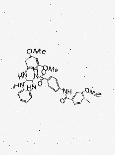 COc1cc(NC2Nc3ccccc3NC2NS(=O)(=O)c2ccc(NC(=O)c3ccc(C)c(OC)c3)cc2)cc(OC)c1